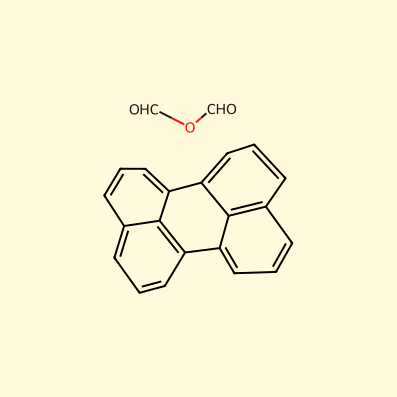 O=COC=O.c1cc2cccc3c4cccc5cccc(c(c1)c23)c54